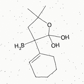 BC1(C2=CCCCC2)CC(C)(C)OC1(O)O